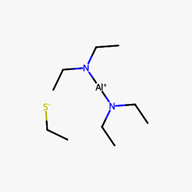 CC[N](CC)[Al+][N](CC)CC.CC[S-]